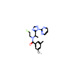 Cc1cc(C(=O)N(CCF)C(C)c2ncnn2-c2ncccn2)cc(C(F)(F)F)c1